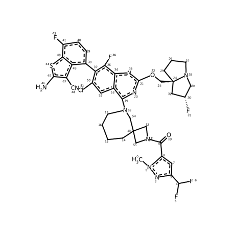 Cn1nc(C(F)F)cc1C(=O)N1CC2(CCCCN(c3nc(OC[C@@]45CCCN4C[C@H](F)C5)nc4c(F)c(-c5ccc(F)c6sc(N)c(C#N)c56)c(Cl)cc34)C2)C1